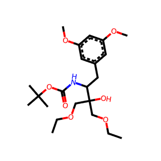 CCOCC(O)(COCC)C(Cc1cc(OC)cc(OC)c1)NC(=O)OC(C)(C)C